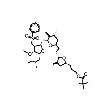 C=C1C[C@H](CCCOC(=O)C(C)(C)C)O[C@H]1CCC1C[C@@H](C)C(=C)[C@@H](C[C@@H]2O[C@H](C[C@H](C)CC)[C@H](OC)[C@H]2CS(=O)(=O)c2ccccc2)O1